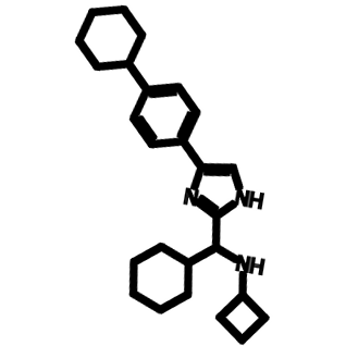 c1cc(C2CCCCC2)ccc1-c1c[nH]c(C(NC2CCC2)C2CCCCC2)n1